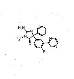 CN1C(=O)C(c2ccccc2)(c2ccc(F)c(-c3cnccn3)c2)N=C1N